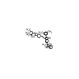 Cc1cc(C)cc(-c2[nH]c3sc(C(C)(C)C(=O)C4C5CCC4NC5)cc3c2CCN2CCC(C(=O)NC(CC(C)C)C(N)=O)CC2)c1